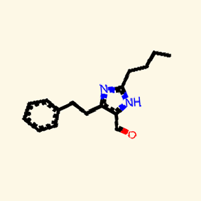 CCCCc1nc(CCc2ccccc2)c(C=O)[nH]1